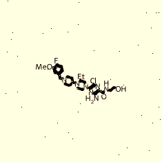 CC[C@H]1CN(c2nc(N)c(C(=O)NCCO)nc2Cl)CCN1C1CCN(Cc2ccc(F)c(OC)c2)CC1